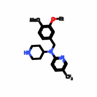 CCOc1cc(CN(c2ccc(C(F)(F)F)cn2)C2CCNCC2)ccc1OC